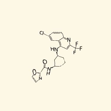 O=C(N[C@@H]1CCC[C@H](Nc2cc(C(F)(F)F)nc3ccc(Cl)cc23)C1)c1ncco1